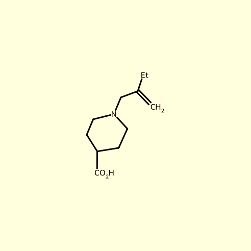 C=C(CC)CN1CCC(C(=O)O)CC1